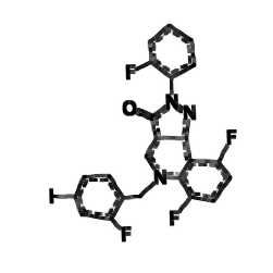 O=c1c2cn(Cc3ccc(I)cc3F)c3c(F)ccc(F)c3c-2nn1-c1ccccc1F